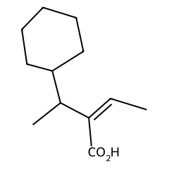 CC=C(C(=O)O)C(C)C1CCCCC1